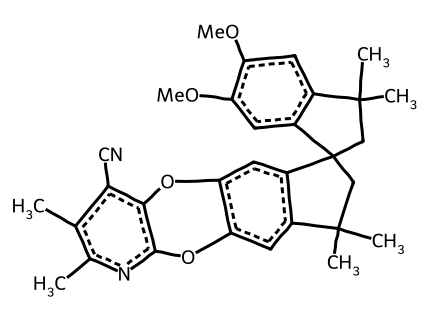 COc1cc2c(cc1OC)C1(CC2(C)C)CC(C)(C)c2cc3c(cc21)Oc1c(nc(C)c(C)c1C#N)O3